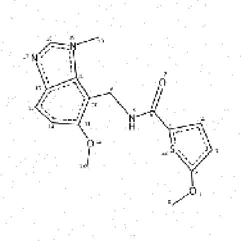 COc1ccc(C(=O)NCc2c(OC)ccc3ncn(C)c23)s1